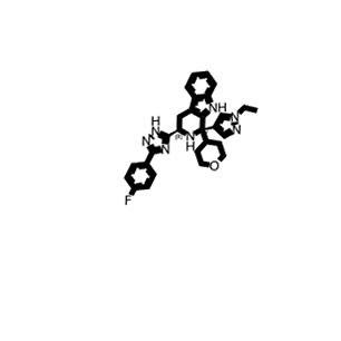 CCn1cc([C@@]2(C3CCOCC3)N[C@@H](c3nc(-c4ccc(F)cc4)n[nH]3)Cc3c2[nH]c2ccccc32)cn1